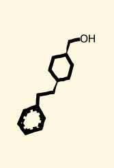 OC[C@H]1CC[C@@H](CCc2ccccc2)CC1